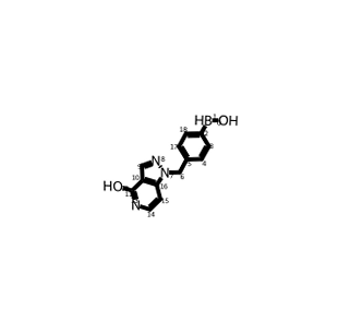 OBc1ccc(Cn2ncc3c(O)nccc32)cc1